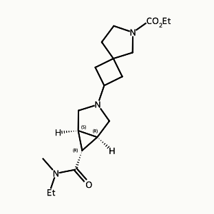 CCOC(=O)N1CCC2(CC(N3C[C@@H]4[C@H](C3)[C@H]4C(=O)N(C)CC)C2)C1